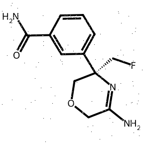 NC(=O)c1cccc([C@]2(CF)COCC(N)=N2)c1